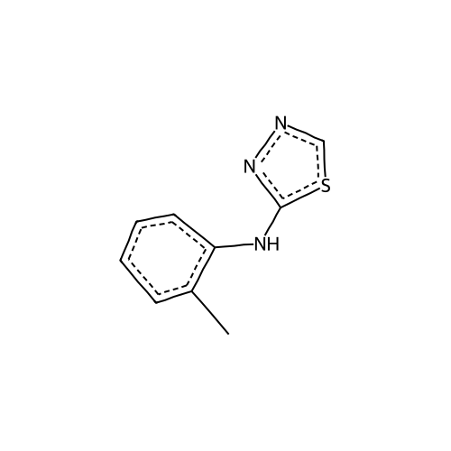 Cc1ccccc1Nc1nncs1